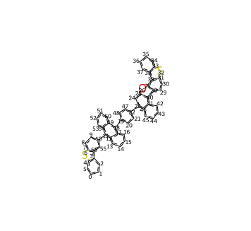 c1ccc2c(c1)sc1ccc(-c3c4ccccc4c(-c4ccc(-c5cc6oc7c(ccc8sc9ccccc9c87)c6c6ccccc56)cc4)c4ccccc34)cc12